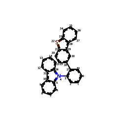 c1ccc(-n2c3ccccc3c3ccccc32)c(-c2ccc3sc4ccccc4c3c2)c1